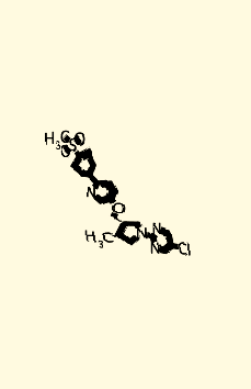 C[C@H]1CN(c2ncc(Cl)cn2)C[C@H]1COc1ccc(-c2ccc(S(C)(=O)=O)cc2)nc1